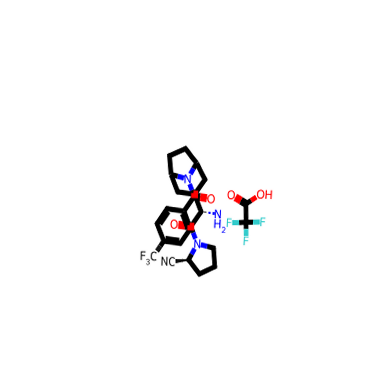 N#C[C@@H]1CCCN1C(=O)[C@@H](N)C1CC2CCC(C1)N2C(=O)c1ccc(C(F)(F)F)cc1.O=C(O)C(F)(F)F